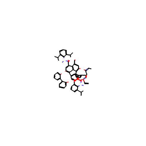 C=C/C1=C/C/C(=C\C)Oc2cc(C=O)c3c(C(=O)N(C)c4c(C(C)C)cccc4C(C)C)cc4oc5ccccc5c5ccccc5oc5cc(C(=O)N(C)c6c(C(C)C)cccc6C(C)C)c6c(C=O)cc(c7c2c3c4c5c67)O1